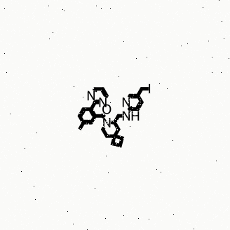 Cc1ccc(-c2ncccn2)c(C(=O)N2CCC3(CCC3)CC2CNc2ccc(CI)cn2)c1